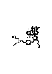 CCCCC1CC(C23C[C@@H]4[C@H](C)CC[C@H]4C4(C=O)CC2C=C(C(C)C)C34C(=O)O)OC1CN1CCC(CCN(CCOC)CCOC)CC1